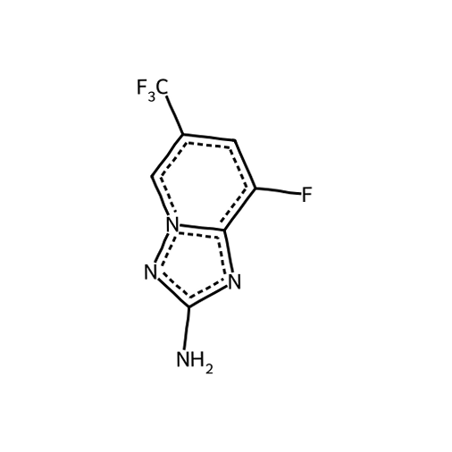 Nc1nc2c(F)cc(C(F)(F)F)cn2n1